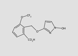 O=C(O)c1cccc(OC(F)(F)F)c1COc1ccn(O)n1